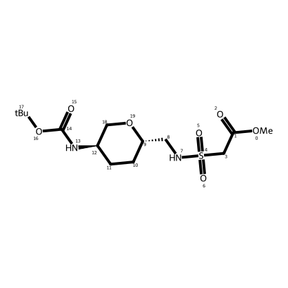 COC(=O)CS(=O)(=O)NC[C@@H]1CC[C@@H](NC(=O)OC(C)(C)C)CO1